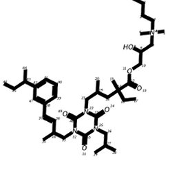 CCCC[N+](C)(C)CC(O)COC(=O)C(C)(CC)CC(C)Cn1c(=O)n(CC(C)C)c(=O)n(CC(C)/C=C/c2cccc(C(C)CC)c2)c1=O